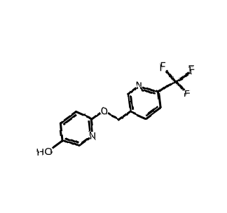 Oc1ccc(OCc2ccc(C(F)(F)F)nc2)nc1